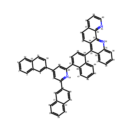 c1ccc2cc(-c3cc(-c4ccc5ccccc5c4)nc(-c4ccc(-c5c6ccccc6nc6c5ccc5cccnc56)c5ccccc45)c3)ccc2c1